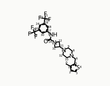 Cc1ccsc1CN1CCN(C2CN(C(=O)Nc3cc(C(F)(F)F)cc(C(F)(F)F)c3)C2)CC1